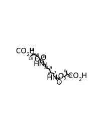 CC(COC(=O)NCCCCCNC(=O)OCC(C)C(=O)O)C(=O)O